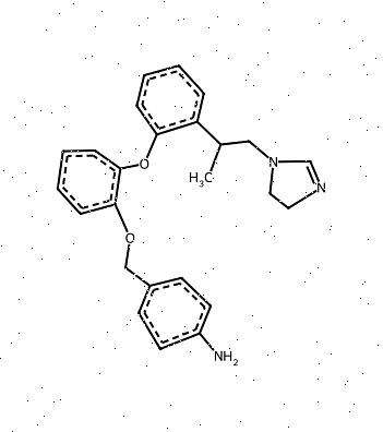 CC(CN1C=NCC1)c1ccccc1Oc1ccccc1OCc1ccc(N)cc1